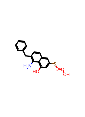 Nc1c(Cc2ccccc2)ccc2cc(SOOO)cc(O)c12